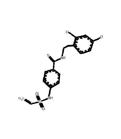 C=CS(=O)(=O)Nc1ccc(C(=O)NCc2ccc(Cl)cc2Cl)cc1